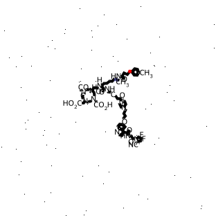 C/C(=C\CCCCC(NC(=O)CN1CCN(CC(=O)O)CCN(CC(=O)O)CCN(CC(=O)O)CC1)C(=O)NCCCCCC(=O)N1CCN(CCCCOc2ccc3nccc(C(=O)NCC(=O)N4CC(F)(F)C[C@@H]4C#N)c3c2)CC1)NC(=O)CCCc1ccc(C)cc1